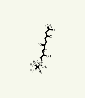 C=C(I)CC(Cl)CCC(=O)C=CC(O)CO[Si](C)(C)C(C)(C)C